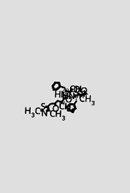 C=C(N[C@@H](Cc1ccccc1)C(=O)[C@@]1(C)CO1)[C@H](Cc1ccccc1)NC(=O)[C@H](C)CC(=O)Cc1sc(C)nc1C